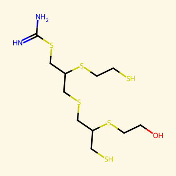 N=C(N)SCC(CSCC(CS)SCCO)SCCS